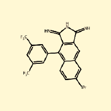 CC(C)c1ccc2c(-c3cc(C(F)(F)F)cc(C(F)(F)F)c3)c3c(cc2c1)C(=N)NC3=N